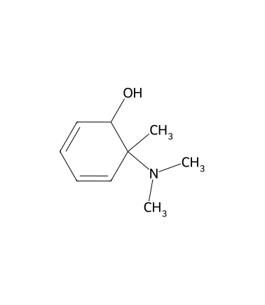 CN(C)C1(C)C=CC=CC1O